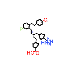 COc1ccc(CCc2ccc(F)cc2/C=C/C(CCc2ccc(C(=O)O)cc2)Cc2ccc(-c3nnn[nH]3)cc2)cc1